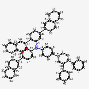 c1ccc(-c2ccc(-c3ccc(N(c4ccc(-c5ccc6ccccc6c5)cc4)c4cc(-c5ccc6ccccc6c5)ccc4-c4ccc5ccccc5c4)cc3)cc2-c2ccccc2)cc1